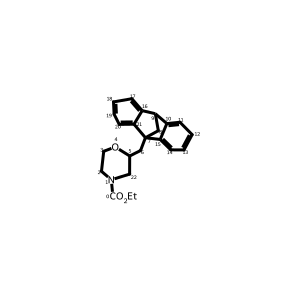 CCOC(=O)N1CCOC(CC23CC(c4ccccc42)c2ccccc23)C1